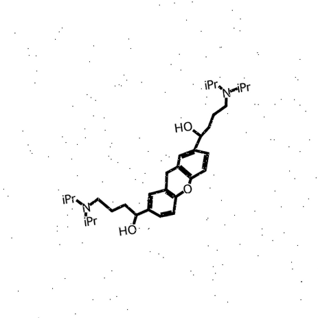 CC(C)N(CCCC(O)c1ccc2c(c1)Cc1cc(C(O)CCCN(C(C)C)C(C)C)ccc1O2)C(C)C